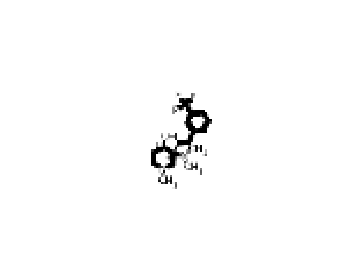 CN1CC[C@@H](O)[C@](CCc2cccc(C(F)(F)F)c2)(N(C)C)C1